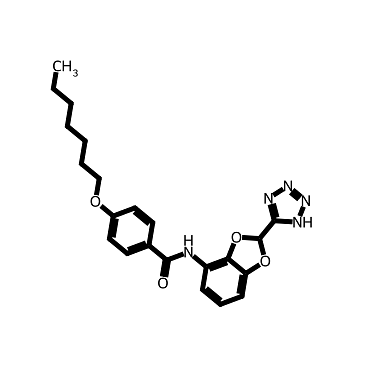 CCCCCCCOc1ccc(C(=O)Nc2cccc3c2OC(c2nnn[nH]2)O3)cc1